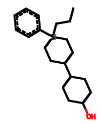 CCC[Si]1(c2ccccc2)CCC(C2CCC(O)CC2)CC1